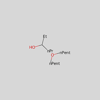 CCCC(O)CC.CCCCCOCCCCC